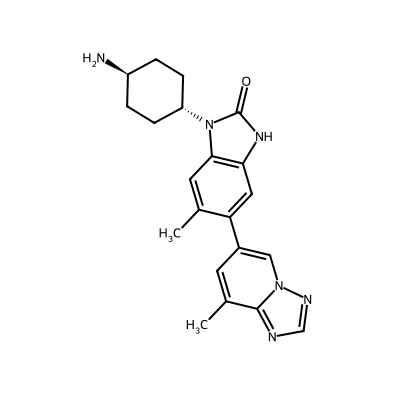 Cc1cc2c(cc1-c1cc(C)c3ncnn3c1)[nH]c(=O)n2[C@H]1CC[C@H](N)CC1